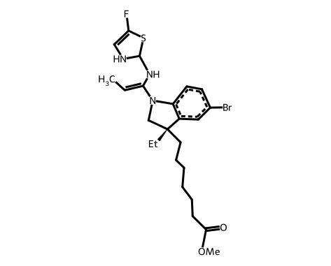 CC=C(NC1NC=C(F)S1)N1C[C@@](CC)(CCCCCCC(=O)OC)c2cc(Br)ccc21